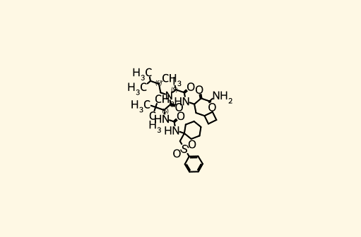 CC(C)[C@H](C)CN(C(=O)[C@@H](NC(=O)NC1(CS(=O)(=O)c2ccccc2)CCCCC1)C(C)(C)C)[C@@H](I)C(=O)NC(CC1CCC1)C(=O)C(N)=O